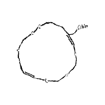 COC1=CCCCCCC=CCCCCCCC1